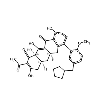 COc1ccc(CC2CCCC2)cc1-c1ccc(O)c2c1C[C@H]1C[C@H]3CC(O)=C(C(C)=O)C(=O)[C@@]3(O)C(O)=C1C2=O